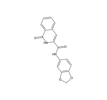 O=C(Nc1ccc2c(c1)OCO2)c1cc2ccccc2c(=O)[nH]1